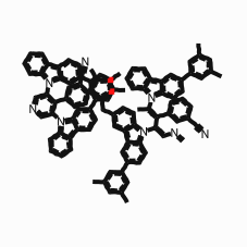 C=N/C=C(\C(=C(/C)n1c2ccccc2c2cc(-c3cc(C)cc(C)c3)ccc21)c1cccc(C#N)c1)n1c2ccc(Cc3cc(C)cc(-c4ccc5c6ccccc6n(-c6cncc(-n7c8ccccc8c8ccc(-c9cc(C)cc(C)c9)cc87)c6-c6cccc(C#N)c6)c5c4)c3)cc2c2cc(-c3cc(C)cc(C)c3)ccc21